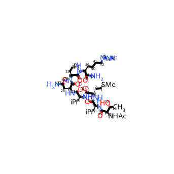 CSCC[C@H](NC(=O)[C@@H](NC(=O)[C@@H](NC(C)=O)C(C)O)C(C)C)C(=O)N[C@H](C(=O)N[C@@H](CC(N)=O)C(=O)N[C@@H](CC(C)C)C(=O)N[C@@H](CCCCN=[N+]=[N-])C(N)=O)C(C)C